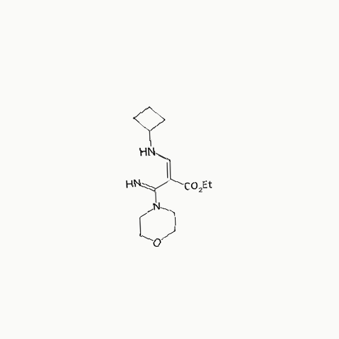 CCOC(=O)/C(=C/NC1CCC1)C(=N)N1CCOCC1